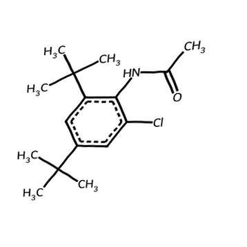 CC(=O)Nc1c(Cl)cc(C(C)(C)C)cc1C(C)(C)C